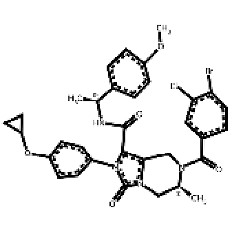 COc1ccc([C@H](C)NC(=O)c2c3n(c(=O)n2-c2ccc(OC4CC4)cc2)C[C@H](C)N(C(=O)c2ccc(Br)c(Cl)c2)C3)cc1